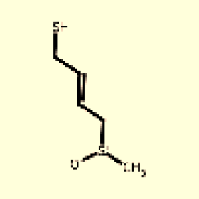 C[S+]([O-])CC=CCS